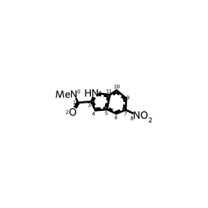 CNC(=O)c1cc2cc([N+](=O)[O-])ccc2[nH]1